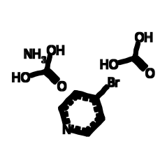 Brc1ccncc1.N.O=C(O)O.O=C(O)O